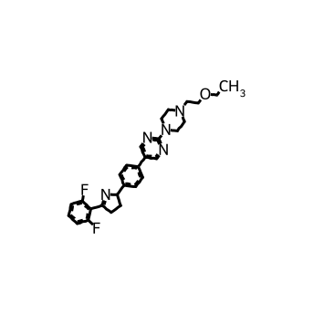 CCOCCN1CCN(c2ncc(-c3ccc(C4CCC(c5c(F)cccc5F)=N4)cc3)cn2)CC1